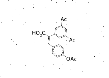 CC(=O)Oc1ccc(/C=C(/C(=O)O)c2cc(C(C)=O)cc(C(C)=O)c2)cc1